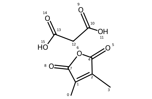 CC1=C(C)C(=O)OC1=O.O=C(O)CC(=O)O